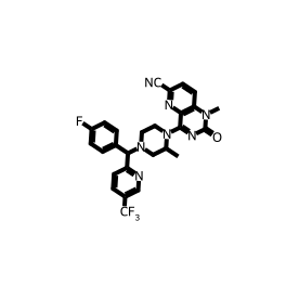 CC1CN(C(c2ccc(F)cc2)c2ccc(C(F)(F)F)cn2)CCN1c1nc(=O)n(C)c2ccc(C#N)nc12